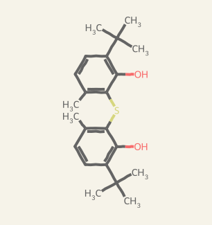 Cc1ccc(C(C)(C)C)c(O)c1Sc1c(C)ccc(C(C)(C)C)c1O